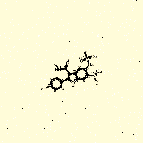 CNC(=O)c1c(-c2ccc(F)cc2)oc2cc([N+](=O)[O-])c(OS(C)(=O)=O)cc12